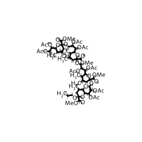 C=CCO[C@]1(C(=O)OC)CC(C)[C@@H](C)C([C@H](OC(C)=O)[C@@H](CO[C@]2(C(=O)OC)C[C@@H](C)C(C)C([C@H](OC(C)=O)[C@@H](COC3(C(=O)OC)C[C@@H](C)C(C)C([C@H](OC(C)=O)[C@@H](CO[C@]4(C(=O)OC)CC(C)[C@@H](C)C([C@H](OC(C)=O)[C@@H](CC)OC(C)=O)O4)OC(C)=O)O3)OC(C)=O)O2)OC(C)=O)O1